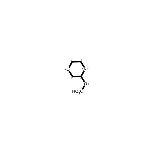 O=C(O)OC1COCCN1